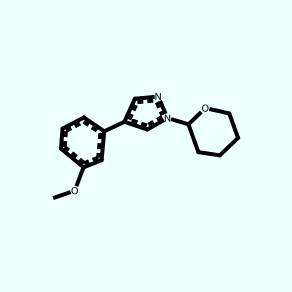 COc1cc[c]c(-c2cnn(C3CCCCO3)c2)c1